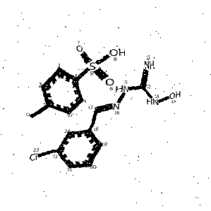 Cc1ccc(S(=O)(=O)O)cc1.N=C(NO)N/N=C/c1cccc(Cl)c1